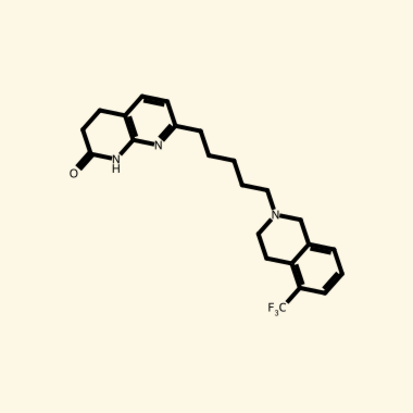 O=C1CCc2ccc(CCCCCN3CCc4c(cccc4C(F)(F)F)C3)nc2N1